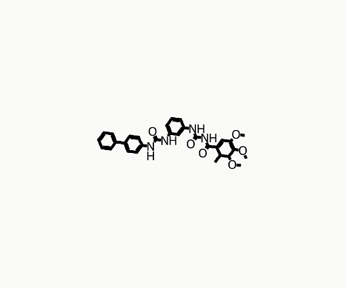 COC1=C(OC)C(OC)C(C)C(C(=O)NC(=O)Nc2cccc(NC(=O)Nc3ccc(-c4ccccc4)cc3)c2)=C1